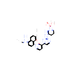 Cc1ccc2c(NCC(C)C)cccc2c1Oc1ncccc1-c1ccnc(NC2CCCN(C(=O)OC(C)(C)C)C2)n1